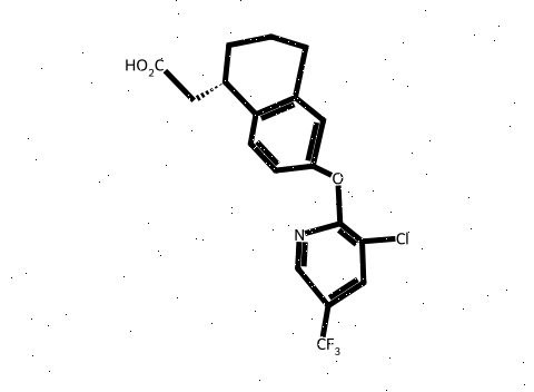 O=C(O)C[C@@H]1CCCc2cc(Oc3ncc(C(F)(F)F)cc3Cl)ccc21